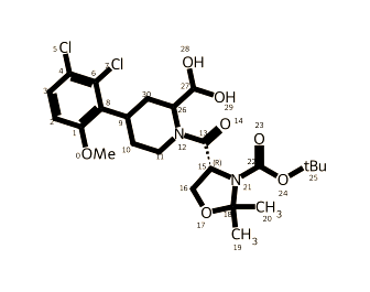 COc1ccc(Cl)c(Cl)c1C1CCN(C(=O)[C@H]2COC(C)(C)N2C(=O)OC(C)(C)C)C(C(O)O)C1